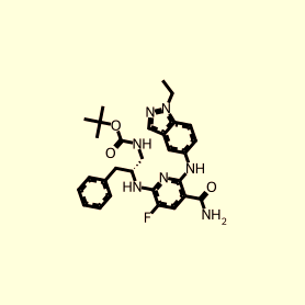 CCn1ncc2cc(Nc3nc(N[C@@H](CNC(=O)OC(C)(C)C)Cc4ccccc4)c(F)cc3C(N)=O)ccc21